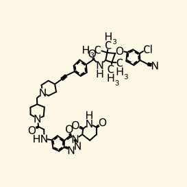 CC1(C)C(NC(=O)c2ccc(C#CC3CCN(CC4CCN(C(=O)CNc5ccc6nnn(C7CCC(=O)NC7=O)c(=O)c6c5)CC4)CC3)cc2)C(C)(C)C1Oc1ccc(C#N)c(Cl)c1